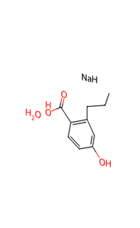 CCCc1cc(O)ccc1C(=O)O.O.[NaH]